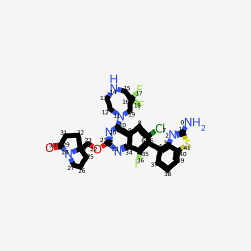 Nc1nc2c(-c3c(Cl)cc4c(N5CCNCC(F)(F)C5)nc(OCC56CCCN5C(=O)CC6)nc4c3F)cccc2s1